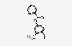 Cc1cc(OC(=O)c2ccccc2)ccc1F